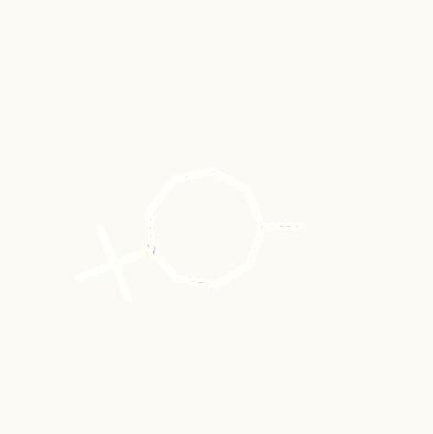 CC1CCCCN(C(C)(C)C)CCC1